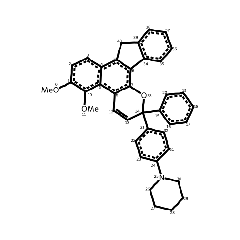 COc1ccc2c3c(c4c(c2c1OC)C=CC(c1ccccc1)(c1ccc(N2CCCCC2)cc1)O4)-c1ccccc1C3